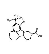 CC(C)(C)c1cc2c3c(c1Br)c1c(n3CCCS2)CCN(C(=O)O)C1